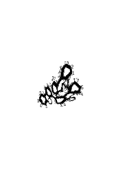 c1ccc2c(c1)oc1c(-c3ccc4sc5cccc(-n6c7ccccc7c7ccccc76)c5c4c3)cccc12